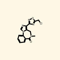 CN1Cc2c(-c3noc(CCl)n3)ncn2-c2ccccc2C1=O